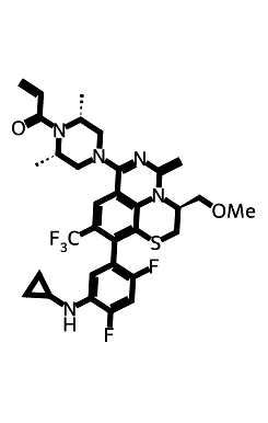 C=CC(=O)N1[C@H](C)CN(C2=NC(=C)N3c4c2cc(C(F)(F)F)c(-c2cc(NC5CC5)c(F)cc2F)c4SC[C@@H]3COC)C[C@@H]1C